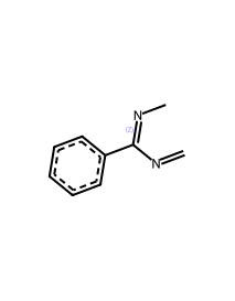 C=N/C(=N\C)c1ccccc1